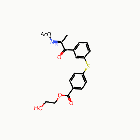 CC(=O)O/N=C(\C)C(=O)c1cccc(Sc2ccc(C(=O)OCCO)cc2)c1